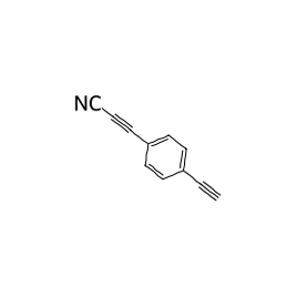 C#Cc1ccc(C#CC#N)cc1